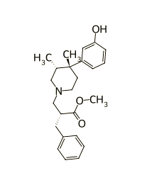 COC(=O)[C@H](Cc1ccccc1)CN1CC[C@@](C)(c2cccc(O)c2)[C@@H](C)C1